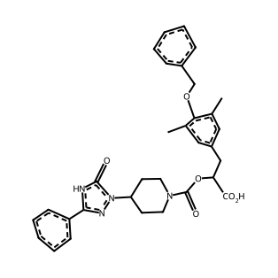 Cc1cc(CC(OC(=O)N2CCC(n3nc(-c4ccccc4)[nH]c3=O)CC2)C(=O)O)cc(C)c1OCc1ccccc1